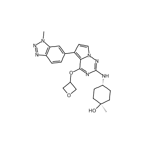 Cn1nnc2ccc(-c3ccn4nc(N[C@H]5CC[C@](C)(O)CC5)nc(OC5COC5)c34)cc21